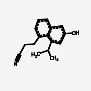 CC(C)c1cc(O)cc2cccc(CCC#N)c12